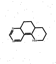 C1=NC=NC2CCC3CCCNC3=C12